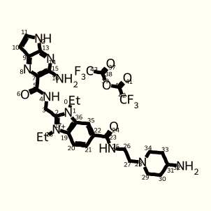 CCn1c(CNC(=O)c2nc3cc[nH]c3nc2N)[n+](CC)c2ccc(C(=O)NCCN3CCC(N)CC3)cc21.O=C(OC(=O)C(F)(F)F)C(F)(F)F